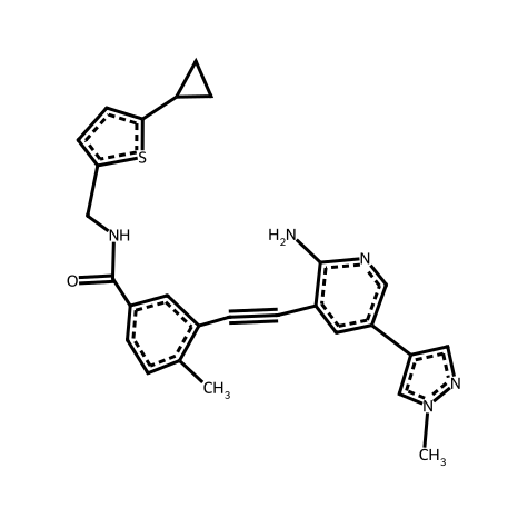 Cc1ccc(C(=O)NCc2ccc(C3CC3)s2)cc1C#Cc1cc(-c2cnn(C)c2)cnc1N